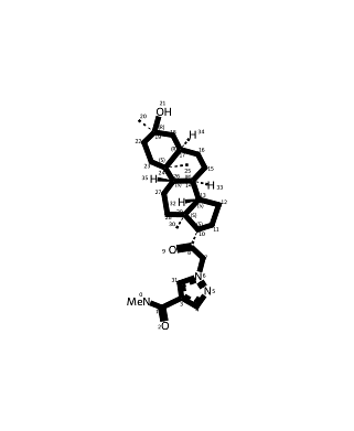 CNC(=O)c1cnn(CC(=O)[C@H]2CC[C@H]3[C@@H]4CC[C@@H]5C[C@](C)(O)CC[C@]5(C)[C@H]4CC[C@]23C)c1